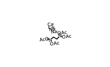 CC(=O)ON(CCN(OC(C)=O)OC(C)=O)OC(C)=O.[Ca].[Ca].[Na].[Na]